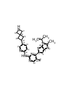 Cc1nc2cc(-c3nc(Nc4ccc(C5CC6(CNC6)C5)cn4)ncc3F)sc2n1C(C)C